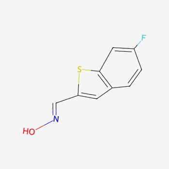 O/N=C/c1cc2ccc(F)cc2s1